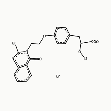 CCOC(Cc1ccc(OCCn2c(CC)nc3ccccc3c2=O)cc1)C(=O)[O-].[Li+]